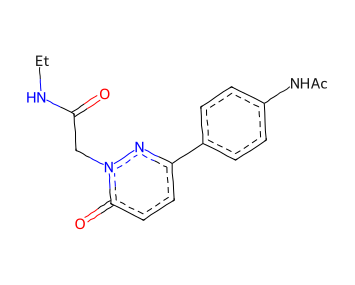 CCNC(=O)Cn1nc(-c2ccc(NC(C)=O)cc2)ccc1=O